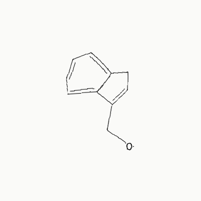 [O]CC1=CCc2ccccc21